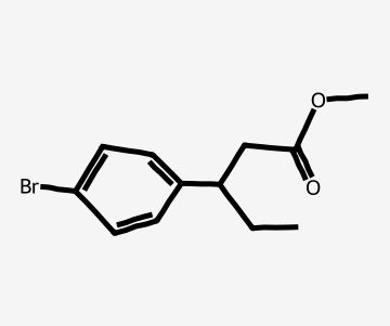 CCC(CC(=O)OC)c1ccc(Br)cc1